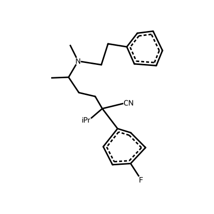 CC(CCC(C#N)(c1ccc(F)cc1)C(C)C)N(C)CCc1ccccc1